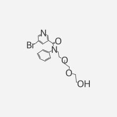 O=C(c1cncc(Br)c1)N(CCOCCOCCO)c1ccccc1